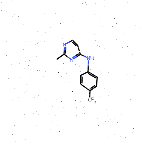 Cc1nccc(Nc2ccc(C(F)(F)F)cc2)n1